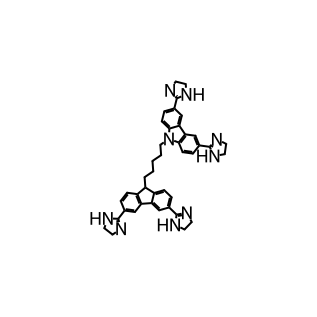 c1cc2c(cc1C1=NCCN1)-c1cc(C3=NCCN3)ccc1C2CCCCCn1c2ccc(C3=NCCN3)cc2c2cc(C3=NCCN3)ccc21